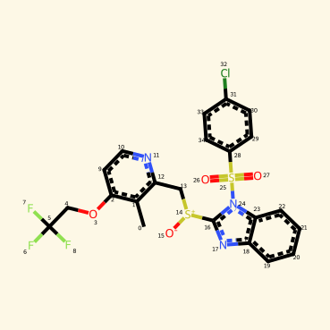 Cc1c(OCC(F)(F)F)ccnc1C[S+]([O-])c1nc2ccccc2n1S(=O)(=O)c1ccc(Cl)cc1